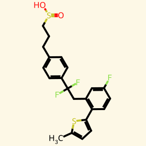 Cc1ccc(-c2ccc(F)cc2CC(F)(F)c2ccc(CCCS(=O)O)cc2)s1